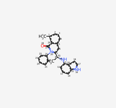 Cc1cccc2cc([C@H](C)Nc3cccc4[nH]ccc34)n(-c3ccccc3)c(=O)c12